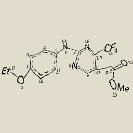 CCOc1ccc(Nc2ncc(C(=O)OC)c(C(F)(F)F)n2)cc1